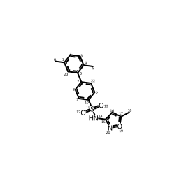 Cc1ccc(C)c(-c2ccc(S(=O)(=O)Nc3cc(C)on3)cc2)c1